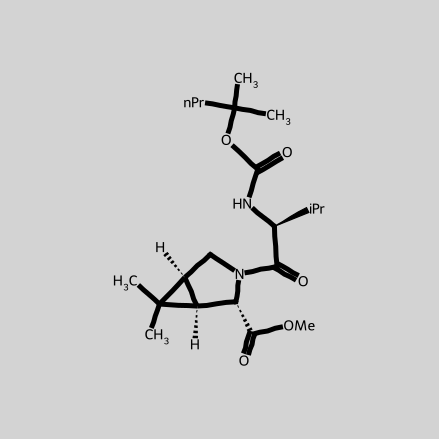 CCCC(C)(C)OC(=O)N[C@H](C(=O)N1C[C@H]2[C@@H]([C@H]1C(=O)OC)C2(C)C)C(C)C